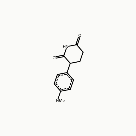 CNc1ccc(C2CCC(=O)NC2=O)cc1